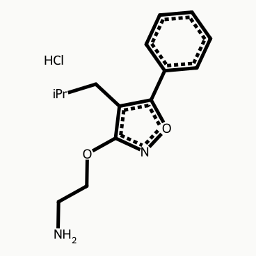 CC(C)Cc1c(OCCN)noc1-c1ccccc1.Cl